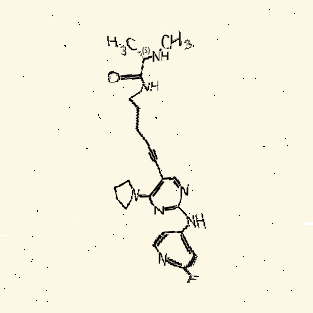 CN[C@@H](C)C(=O)NCCCC#Cc1cnc(Nc2ccnc(F)c2)nc1N1CCCC1